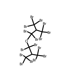 BrC(Br)(Br)C(C(Br)(Br)Br)C(Br)(Br)OC(Br)(Br)C(C(Br)(Br)Br)C(Br)(Br)Br